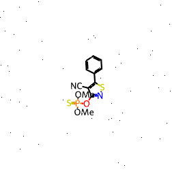 COP(=S)(OC)Oc1nsc(-c2ccccc2)c1C#N